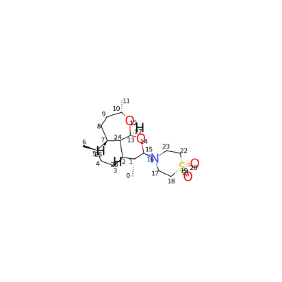 C[C@@H]1[C@@H]2CC[C@@H](C)[C@@H]3CC[C@H](C)O[C@@H](O[C@H]1N1CCS(=O)(=O)CC1)C23